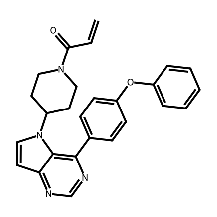 C=CC(=O)N1CCC(n2ccc3ncnc(-c4ccc(Oc5ccccc5)cc4)c32)CC1